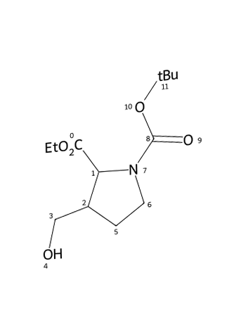 CCOC(=O)C1C(CO)CCN1C(=O)OC(C)(C)C